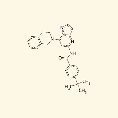 CC(C)(C)c1ccc(C(=O)Nc2cc(N3CCc4ccccc4C3)n3nccc3n2)cc1